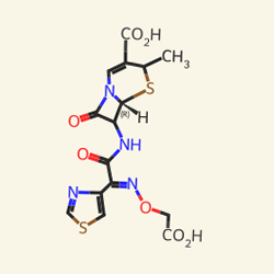 CC1S[C@@H]2C(NC(=O)C(=NOCC(=O)O)c3cscn3)C(=O)N2C=C1C(=O)O